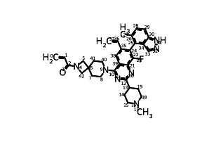 C=CC(=O)N1CC2(CCN(c3nc(C4CCN(C)CC4)nc4c(F)c(-c5c(C)ccc6[nH]ncc56)c(C=C)cc34)CC2)C1